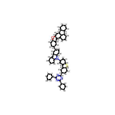 c1ccc(-c2nc(-c3ccccc3)nc(-c3ccc4sc5ccc(-n6c7ccccc7c7cc(-c8ccc9oc%10cc%11c%12c(cccc%12c%10c9c8)-c8ccccc8-%11)ccc76)cc5c4c3)n2)cc1